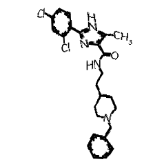 Cc1[nH]c(-c2ccc(Cl)cc2Cl)nc1C(=O)NCCC1CCN(Cc2ccccc2)CC1